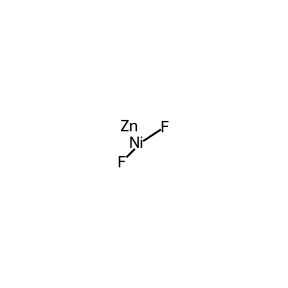 [F][Ni][F].[Zn]